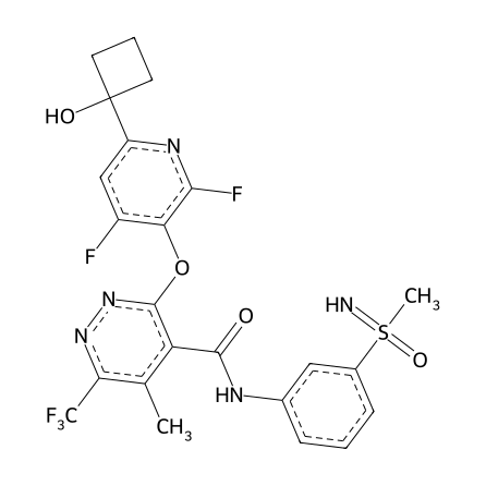 Cc1c(C(F)(F)F)nnc(Oc2c(F)cc(C3(O)CCC3)nc2F)c1C(=O)Nc1cccc(S(C)(=N)=O)c1